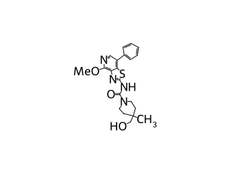 COc1ncc(-c2ccccc2)c2sc(NC(=O)N3CCC(C)(CO)CC3)nc12